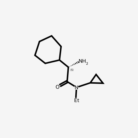 CCN(C(=O)[C@@H](N)C1CCCCC1)C1CC1